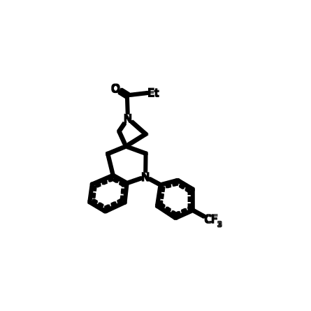 CCC(=O)N1CC2(Cc3ccccc3N(c3ccc(C(F)(F)F)cc3)C2)C1